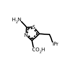 CC(C)Cc1sc(N)nc1C(=O)O